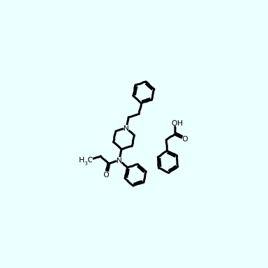 CCC(=O)N(c1ccccc1)C1CCN(CCc2ccccc2)CC1.O=C(O)Cc1ccccc1